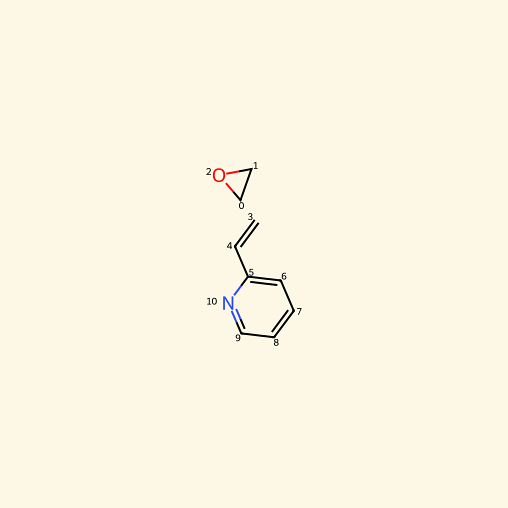 C1CO1.C=Cc1ccccn1